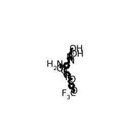 NC(=O)c1cc(-c2cn(C[C@@H](O)CO)cn2)ccc1OC1CCN(C(=O)Cc2ccc(OC(F)(F)F)cc2)CC1